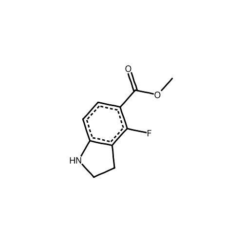 COC(=O)c1ccc2c(c1F)CCN2